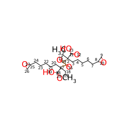 CCC(CCCCCC1CO1)(C(=O)O)S(=O)(=O)C(CC)(CCCCCC1CO1)C(=O)O